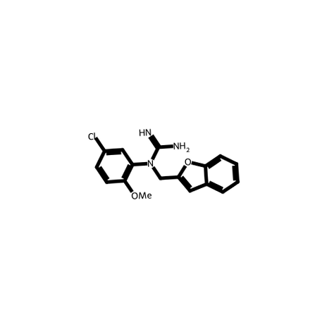 COc1ccc(Cl)cc1N(Cc1cc2ccccc2o1)C(=N)N